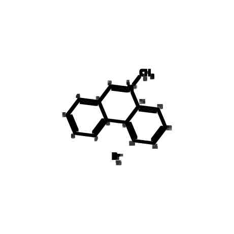 C[n+]1cc2ccccc2c2ccccc21.[Br-]